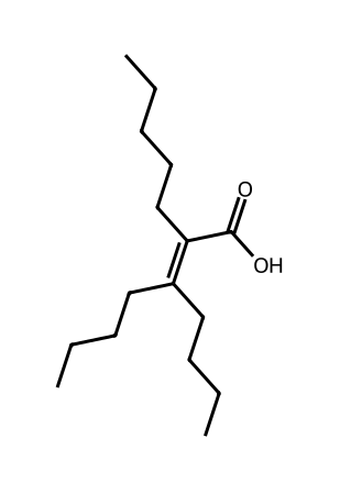 CCCCCC(C(=O)O)=C(CCCC)CCCC